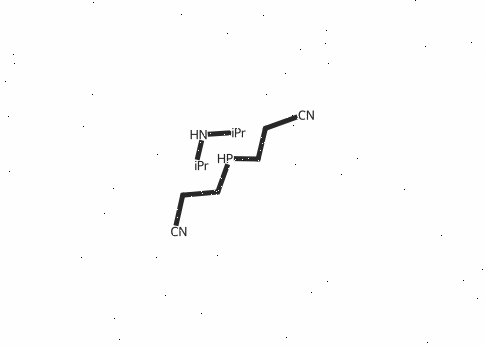 CC(C)NC(C)C.N#CCCPCCC#N